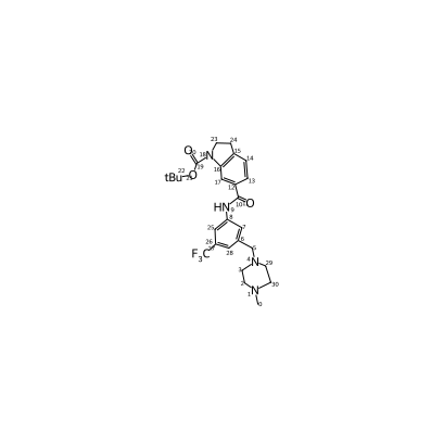 CN1CCN(Cc2cc(NC(=O)c3ccc4c(c3)N(C(=O)OC(C)(C)C)CC4)cc(C(F)(F)F)c2)CC1